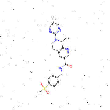 CCS(=O)(=O)c1ccc(CNC(=O)c2cnc3c(c2)CCN(c2ncc(C(F)(F)F)cn2)[C@H]3C(C)C)cc1